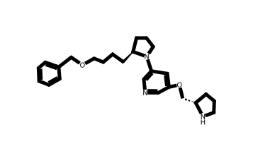 c1ccc(COCCCC[C@H]2CCCN2c2cncc(OC[C@@H]3CCCN3)c2)cc1